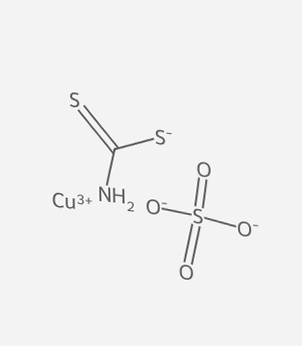 NC(=S)[S-].O=S(=O)([O-])[O-].[Cu+3]